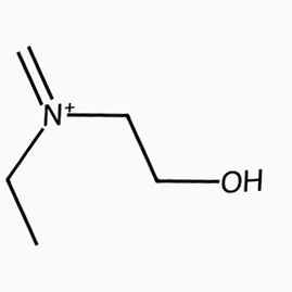 C=[N+](CC)CCO